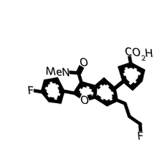 CNC(=O)c1c(-c2ccc(F)cc2)oc2cc(CCCF)c(-c3cccc(C(=O)O)c3)cc12